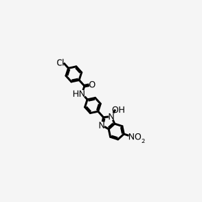 O=C(Nc1ccc(-c2nc3ccc([N+](=O)[O-])cc3n2O)cc1)c1ccc(Cl)cc1